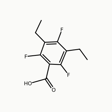 CCc1c(F)c(CC)c(F)c(C(=O)O)c1F